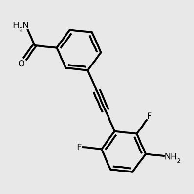 NC(=O)c1cccc(C#Cc2c(F)ccc(N)c2F)c1